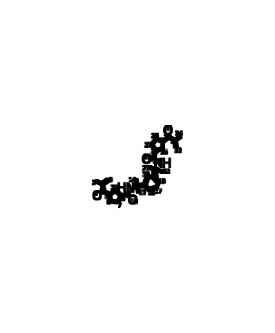 C=C(C)C(=O)C1CCC(C(=O)NC(C)(C)c2cccc(C(C)(C)NC(=O)C3CCC(C(=O)C(=C)C)C3)c2)C1